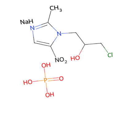 Cc1ncc([N+](=O)[O-])n1CC(O)CCl.O=P(O)(O)O.[NaH]